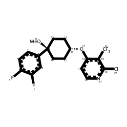 CO[C@]1(c2ccc(F)c(F)c2)CC[C@@H](Oc2ccnc(Cl)c2C(F)(F)F)CC1